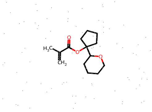 C=C(C)C(=O)OC1(C2CCCCO2)CCCC1